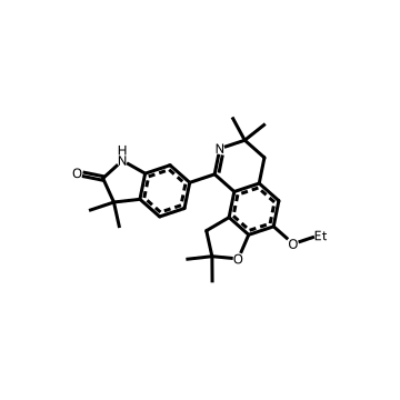 CCOc1cc2c(c3c1OC(C)(C)C3)C(c1ccc3c(c1)NC(=O)C3(C)C)=NC(C)(C)C2